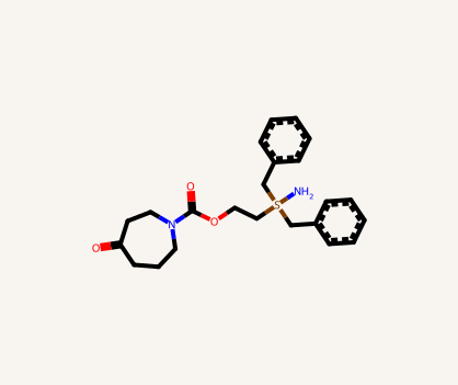 NS(CCOC(=O)N1CCCC(=O)CC1)(Cc1ccccc1)Cc1ccccc1